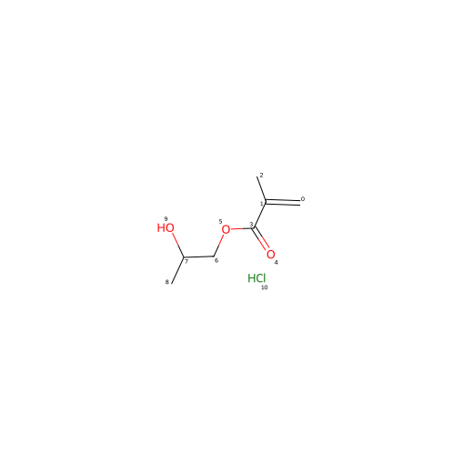 C=C(C)C(=O)OCC(C)O.Cl